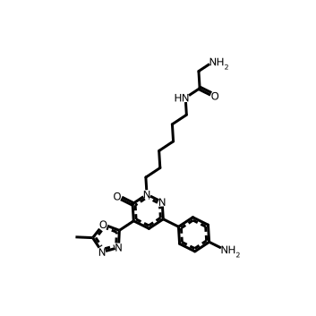 Cc1nnc(-c2cc(-c3ccc(N)cc3)nn(CCCCCCNC(=O)CN)c2=O)o1